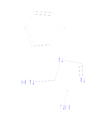 Nc1ncn(-c2ccccc2)c1N